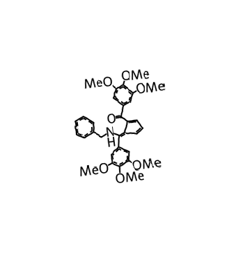 COc1cc(C(=O)C2=CC=C/C2=C(/NCc2ccccc2)c2cc(OC)c(OC)c(OC)c2)cc(OC)c1OC